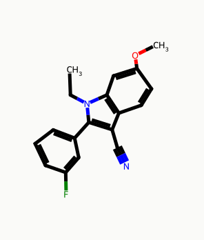 CCn1c(-c2cccc(F)c2)c(C#N)c2ccc(OC)cc21